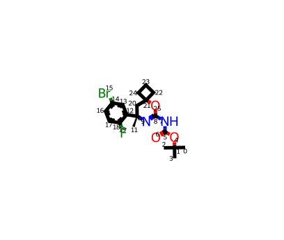 CC(C)(C)OC(=O)NC1=N[C@](C)(c2cc(Br)ccc2F)CC2(CCC2)O1